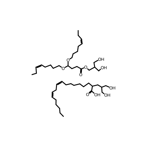 CC/C=C\CCCCOC(CCC(=O)OCC(CO)CO)OCCCC/C=C\CC.CCCCC/C=C\C/C=C\CCCCCCC(CC(CO)CO)C(=O)O